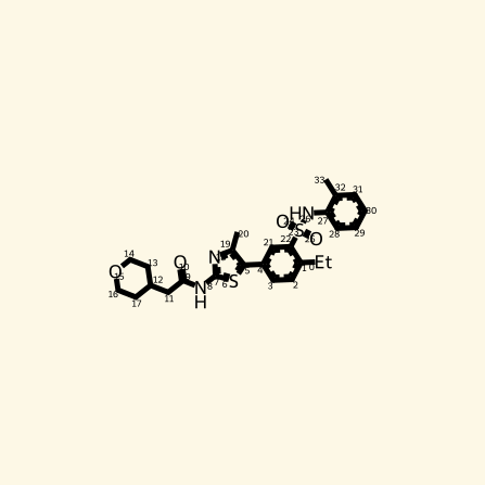 CCc1ccc(-c2sc(NC(=O)CC3CCOCC3)nc2C)cc1S(=O)(=O)Nc1ccccc1C